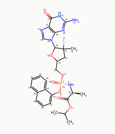 CC(C)OC(=O)[C@H](C)N[P@](=O)(OCC1CC(C)(F)C(n2cnc3c(=O)[nH]c(N)nc32)O1)Oc1cccc2ccccc12